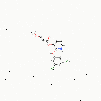 COC=CC(=O)Oc1cccnc1Oc1cc(Cl)cc(Cl)c1